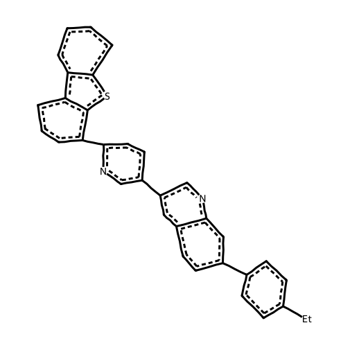 CCc1ccc(-c2ccc3cc(-c4ccc(-c5cccc6c5sc5ccccc56)nc4)cnc3c2)cc1